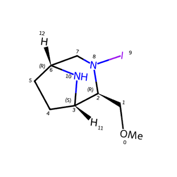 COC[C@H]1[C@@H]2CC[C@H](CN1I)N2